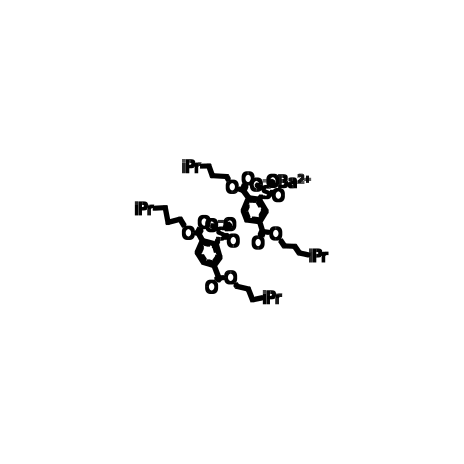 CC(C)CCCOC(=O)c1ccc(C(=O)OCCCC(C)C)c(S(=O)(=O)[O-])c1.CC(C)CCCOC(=O)c1ccc(C(=O)OCCCC(C)C)c(S(=O)(=O)[O-])c1.[Ba+2]